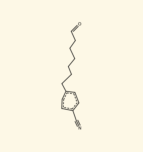 N#Cc1ccc(CCCCCCC=O)cc1